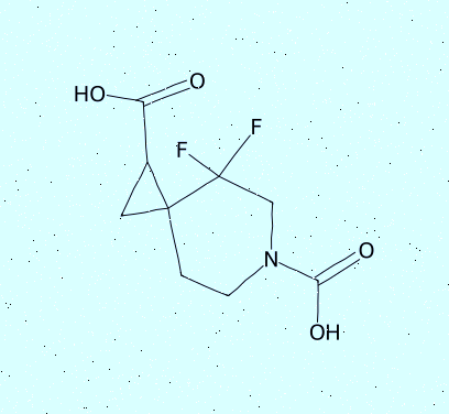 O=C(O)C1CC12CCN(C(=O)O)CC2(F)F